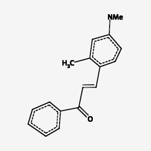 CNc1ccc(C=CC(=O)c2ccccc2)c(C)c1